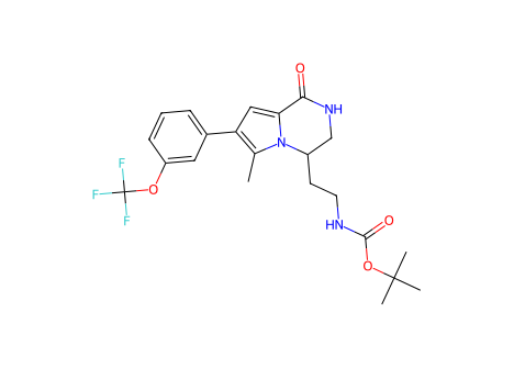 Cc1c(-c2cccc(OC(F)(F)F)c2)cc2n1C(CCNC(=O)OC(C)(C)C)CNC2=O